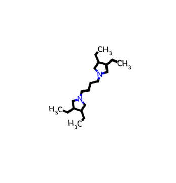 CCC1CN(CCCCN2CC(CC)C(CC)C2)CC1CC